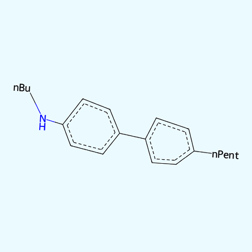 CCCCCc1ccc(-c2ccc(NCCCC)cc2)cc1